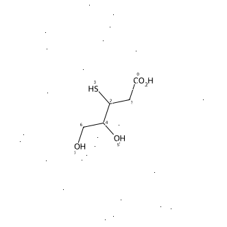 O=C(O)CC(S)C(O)CO